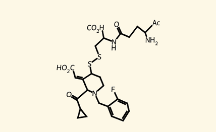 CC(=O)C(N)CCC(=O)NC(CSSC1CCN(Cc2ccccc2F)C(C(=O)C2CC2)/C1=C/C(=O)O)C(=O)O